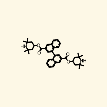 CC1(C)CC(OC(=O)c2cc(-c3cc(C(=O)OC4CC(C)(C)NC(C)(C)C4)cc4ccccc34)c3ccccc3c2)CC(C)(C)N1